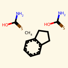 C.NC(O)=S.NC(O)=S.c1ccc2c(c1)CCC2